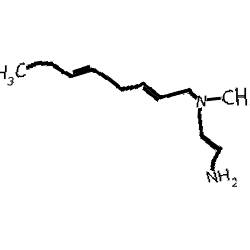 CCC=CCC=CCN(C)CCN